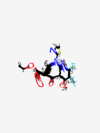 CCOC(=O)c1cn(-c2nccs2)c2nc(F)c(F)c(OC)c2c1=O